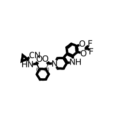 N#CC1(NC(=O)[C@@H]2CCCC[C@H]2C(=O)N2CCc3[nH]c4c5c(ccc4c3C2)OC(F)(F)O5)CC1